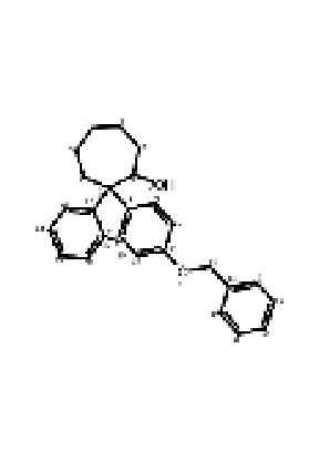 OC1CCCCCC1(c1ccc(OCc2ccccc2)cc1)c1ccccc1F